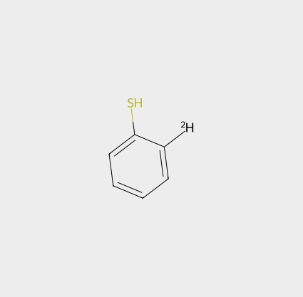 [2H]c1ccccc1S